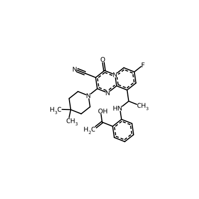 C=C(O)c1ccccc1NC(C)c1cc(F)cn2c(=O)c(C#N)c(N3CCC(C)(C)CC3)nc12